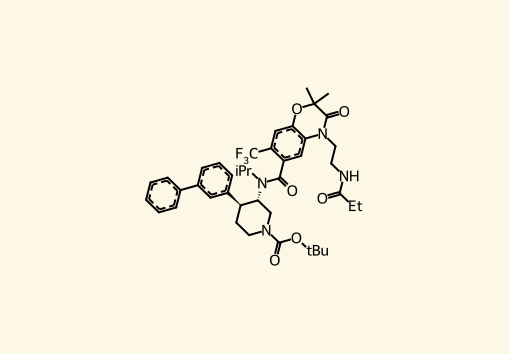 CCC(=O)NCCN1C(=O)C(C)(C)Oc2cc(C(F)(F)F)c(C(=O)N(C(C)C)[C@@H]3CN(C(=O)OC(C)(C)C)CC[C@H]3c3cccc(-c4ccccc4)c3)cc21